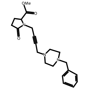 COC(=O)C1CCC(=O)N1CC#CCN1CCN(Cc2ccccc2)CC1